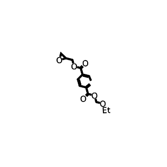 C=C(/C=C\C(=C/C)C(=O)OCC1CO1)C(=O)OCOCC